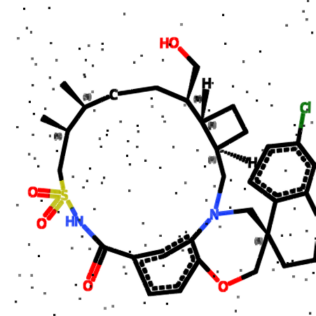 C[C@@H]1CS(=O)(=O)NC(=O)c2ccc3c(c2)N(C[C@@H]2CC[C@H]2[C@H](CO)CC[C@@H]1C)C[C@@]1(CCCc2cc(Cl)ccc21)CO3